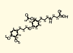 CC(=O)O.COc1ccc(CCCOc2ccc(CCCNCCC(=O)O)cc2)cc1OC